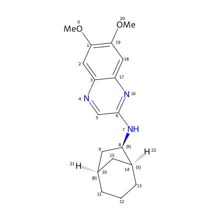 COc1cc2ncc(N[C@@H]3C[C@@H]4CCC[C@H]3C4)nc2cc1OC